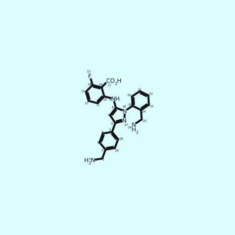 NCc1ccc(-c2cc(Nc3cccc(F)c3C(=O)O)n(-c3ccccc3CN)n2)cc1